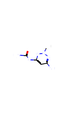 CN1N=C(N)C=C(NC(N)=O)N1